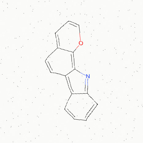 c1coc2c(c1)ccc1c3ccccc3nc12